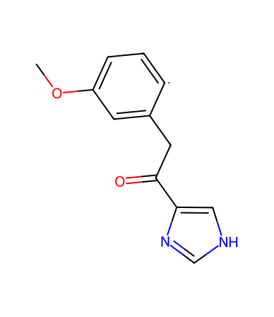 COc1cc[c]c(CC(=O)c2c[nH]cn2)c1